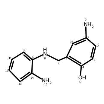 Nc1ccc(O)c(CNc2ccccc2N)c1